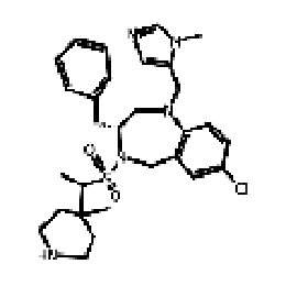 CC(C1(C)CCNCC1)S(=O)(=O)N1Cc2cc(Cl)ccc2N(Cc2cncn2C)C[C@H]1Cc1ccccc1